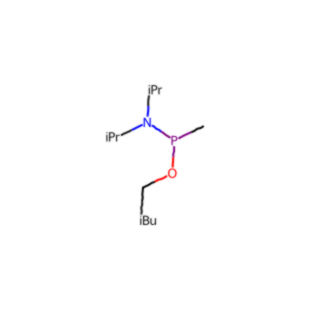 CCC(C)COP(C)N(C(C)C)C(C)C